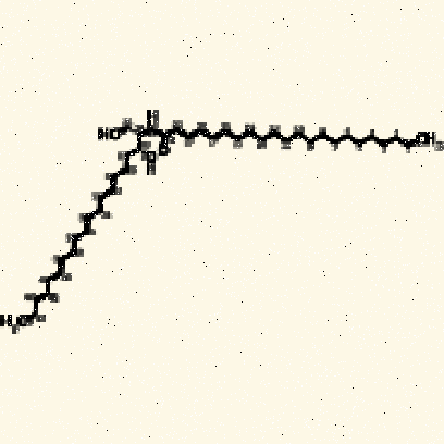 CCCCCCCCCCCCCCCCCCCCCC(=O)N[C@@H](CO)[C@H](O)CCCCCCCCCCCCCCCCC